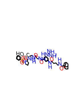 N=C(N)Nc1cc(NC(=O)CCCNC(=O)C23CC4CC(CC(C4)C2)C3)cc(C(=O)NCC(=O)NC[C@H](NC(=O)C2CCCN2S(=O)(=O)c2ccccc2)C(=O)O)c1